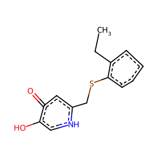 CCc1ccccc1SCc1cc(=O)c(O)c[nH]1